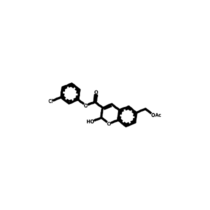 CC(=O)OCc1ccc2c(c1)C=C(C(=O)Oc1cccc(Cl)c1)C(O)O2